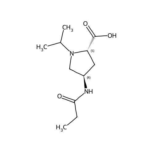 CCC(=O)N[C@@H]1C[C@@H](C(=O)O)N(C(C)C)C1